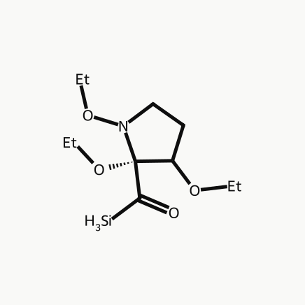 CCOC1CCN(OCC)[C@]1(OCC)C(=O)[SiH3]